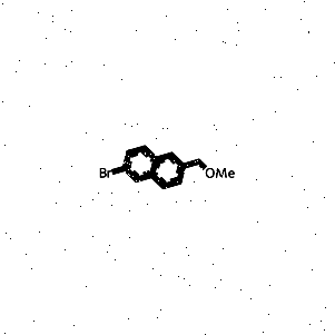 COCc1ccc2cc(Br)ccc2c1